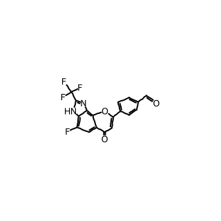 O=Cc1ccc(-c2cc(=O)c3cc(F)c4[nH]c(C(F)(F)F)nc4c3o2)cc1